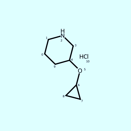 C1CNCC(OC2CC2)C1.Cl